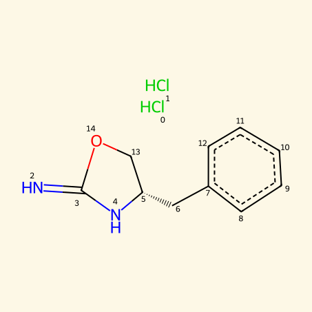 Cl.Cl.N=C1N[C@@H](Cc2ccccc2)CO1